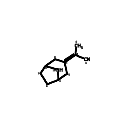 CC(C#N)=C1CC2CCC(C1)N2